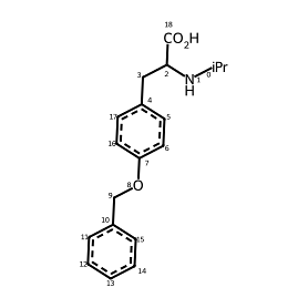 CC(C)NC(Cc1ccc(OCc2ccccc2)cc1)C(=O)O